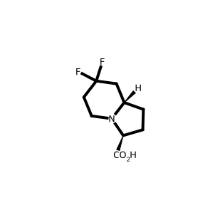 O=C(O)[C@@H]1CC[C@H]2CC(F)(F)CCN21